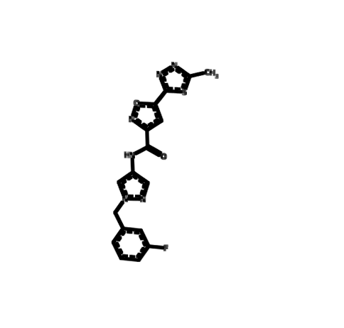 Cc1nnc(-c2cc(C(=O)Nc3cnn(Cc4cccc(F)c4)c3)no2)s1